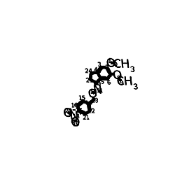 COc1cc2c(cc1OC)C(=NOCc1ccc([N+](=O)[O-])cc1)CC2